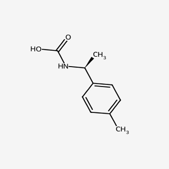 Cc1ccc([C@H](C)NC(=O)O)cc1